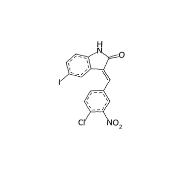 O=C1Nc2ccc(I)cc2C1=Cc1ccc(Cl)c([N+](=O)[O-])c1